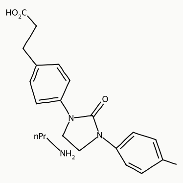 CCCN.Cc1ccc(N2CCN(c3ccc(CCC(=O)O)cc3)C2=O)cc1